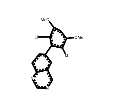 COc1cc(OC)c(Cl)c(-c2ccc3n[c]ncc3c2)c1Cl